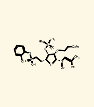 COCCO[C@@H]1[C@H](O[Si](C)(C)C(C)(C)C)[C@@H](CCP(=O)(O)Oc2ccccc2Cl)O[C@H]1N(/C=C(/C)C(C)=O)C(C)=O